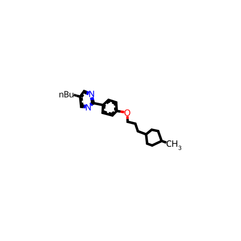 CCCCc1cnc(-c2ccc(OCCCC3CCC(C)CC3)cc2)nc1